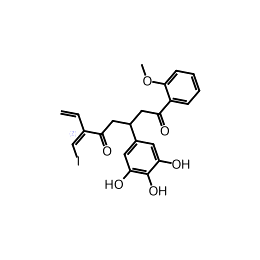 C=C/C(=C/I)C(=O)CC(CC(=O)c1ccccc1OC)c1cc(O)c(O)c(O)c1